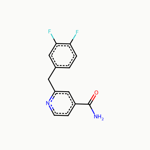 NC(=O)c1ccnc(Cc2ccc(F)c(F)c2)c1